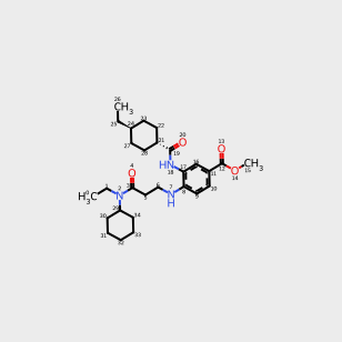 CCN(C(=O)CCNc1ccc(C(=O)OC)cc1NC(=O)[C@H]1CC[C@H](CC)CC1)C1CCCCC1